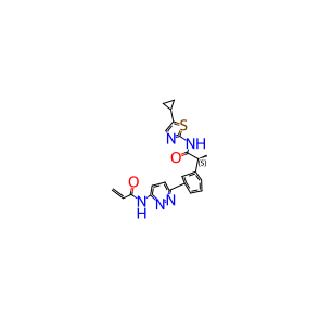 C=CC(=O)Nc1ccc(-c2cccc([C@H](C)C(=O)Nc3ncc(C4CC4)s3)c2)nn1